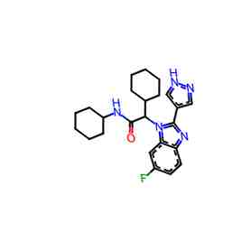 O=C(NC1CCCCC1)C(C1CCCCC1)n1c(-c2cn[nH]c2)nc2ccc(F)cc21